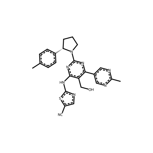 Cc1ccc([C@@H]2CCCN2c2nc(Nc3ncc(C#N)s3)c(CO)c(-c3cnc(C)nc3)n2)cc1